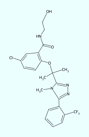 Cn1c(-c2ccccc2C(F)(F)F)nnc1C(C)(C)Oc1ccc(Cl)cc1C(=O)NCCO